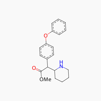 COC(=O)C(c1ccc(Oc2ccccc2)cc1)C1CCCCN1